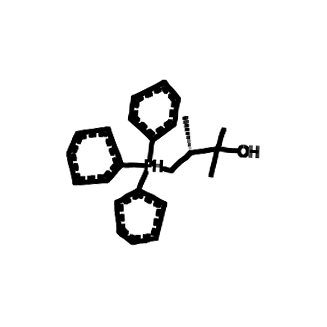 C[C@@H](C[PH](c1ccccc1)(c1ccccc1)c1ccccc1)C(C)(C)O